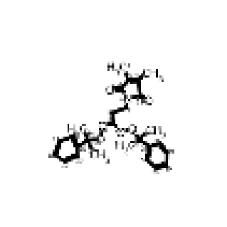 CC1=C(C)C(=O)N(CCC(OOC(C)(C)c2ccccc2)OOC(C)(C)c2ccccc2)C1=O